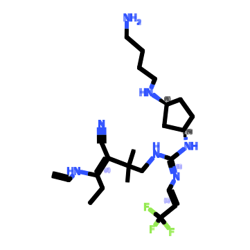 C=CN/C(CC)=C(\C#N)C(C)(C)CN/C(=N\C=C\C(F)(F)F)N[C@H]1CC[C@H](NCCCCN)C1